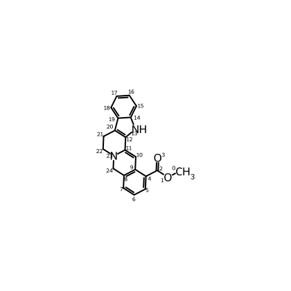 COC(=O)c1cccc2c1C=C1c3[nH]c4ccccc4c3CCN1C2